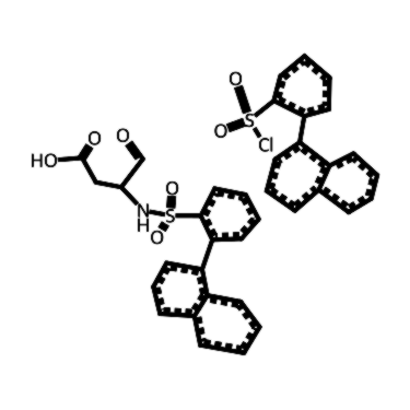 O=CC(CC(=O)O)NS(=O)(=O)c1ccccc1-c1cccc2ccccc12.O=S(=O)(Cl)c1ccccc1-c1cccc2ccccc12